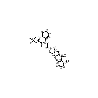 CC(C)(C)CC(=O)N[C@@H](CCN1CC2CN(C(=O)c3c(F)cccc3Cl)CC2C1)c1ccccc1